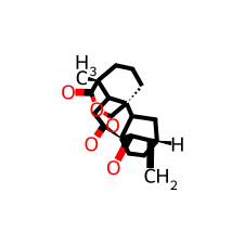 C=C1C(=O)[C@]23CC[C@H]1CC2[C@@]12CCC[C@@](C)(C(=O)OC1=O)C2CC3=O